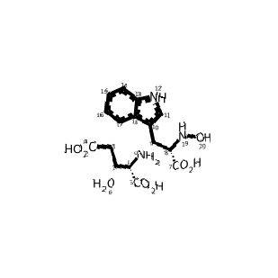 N[C@@H](CCC(=O)O)C(=O)O.O.O=C(O)[C@H](Cc1c[nH]c2ccccc12)NO